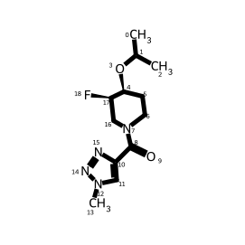 CC(C)O[C@H]1CCN(C(=O)c2cn(C)nn2)C[C@H]1F